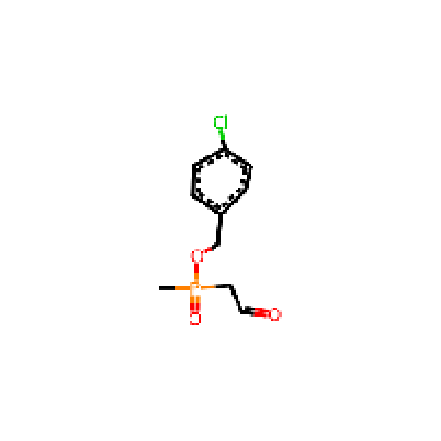 CP(=O)(CC=O)OCc1ccc(Cl)cc1